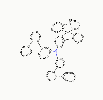 c1ccc(-c2ccccc2-c2cccc(N(c3cccc(-c4ccccc4-c4ccccc4)c3)c3ccc4c(c3)-c3ccccc3C43c4ccccc4-c4ccccc43)c2)cc1